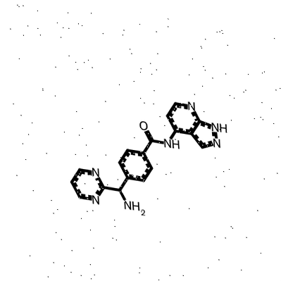 NC(c1ccc(C(=O)Nc2ccnc3[nH]ncc23)cc1)c1ncccn1